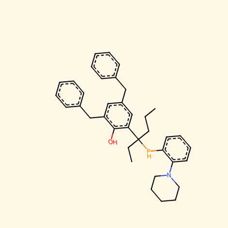 CCCC(CC)(Pc1ccccc1N1CCCCC1)c1cc(Cc2ccccc2)cc(Cc2ccccc2)c1O